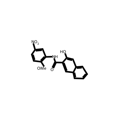 COc1ccc([N+](=O)[O-])cc1NC(=O)c1cc2ccccc2cc1O